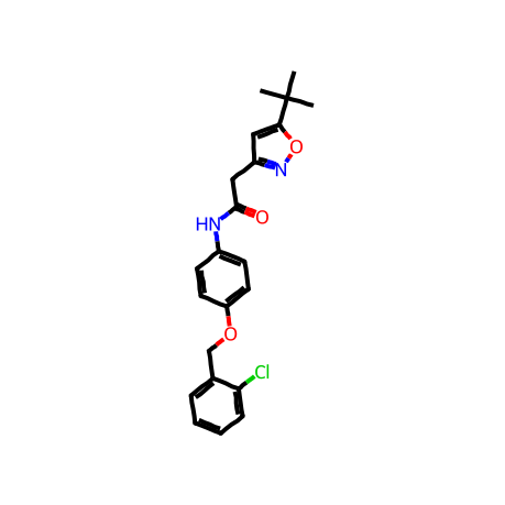 CC(C)(C)c1cc(CC(=O)Nc2ccc(OCc3ccccc3Cl)cc2)no1